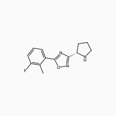 Cc1c(F)cccc1-c1nc([C@@H]2CCCN2)no1